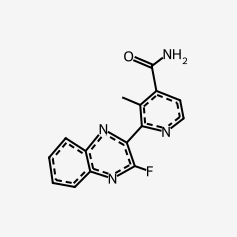 Cc1c(C(N)=O)ccnc1-c1nc2ccccc2nc1F